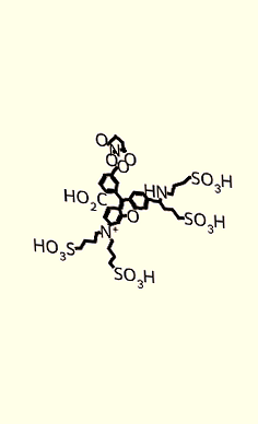 O=C(ON1C(=O)CCC1=O)c1ccc(C(=O)O)c(-c2c3ccc(=[N+](CCCCS(=O)(=O)O)CCCCS(=O)(=O)O)cc-3oc3cc(C(CCCS(=O)(=O)O)NCCCCS(=O)(=O)O)ccc23)c1